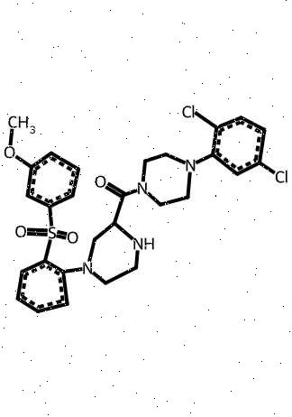 COc1cccc(S(=O)(=O)c2ccccc2N2CCNC(C(=O)N3CCN(c4cc(Cl)ccc4Cl)CC3)C2)c1